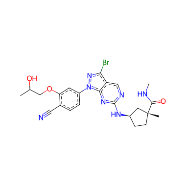 CNC(=O)[C@]1(C)CC[C@@H](Nc2ncc3c(Br)nn(-c4ccc(C#N)c(OCC(C)O)c4)c3n2)C1